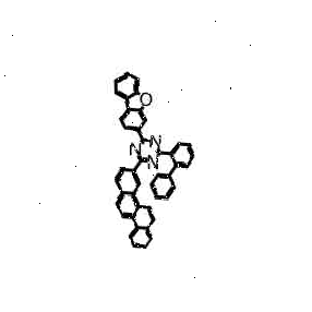 c1ccc(-c2ccccc2-c2nc(-c3ccc4c(c3)oc3ccccc34)nc(-c3ccc4ccc5c6ccccc6ccc5c4c3)n2)cc1